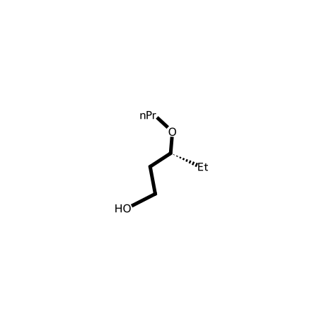 CCCO[C@H](CC)CCO